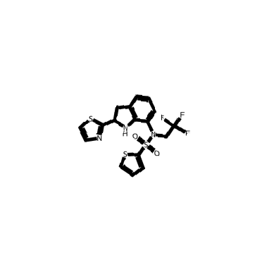 O=S(=O)(c1cccs1)N(CC(F)(F)F)c1cccc2c1NC(c1nccs1)C2